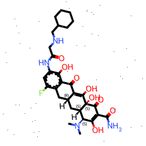 CN(C)[C@@H]1C(O)=C(C(N)=O)C(=O)[C@@]2(O)C(O)=C3C(=O)c4c(O)c(NC(=O)CNCC5CCCCC5)cc(F)c4C[C@H]3C[C@@H]12